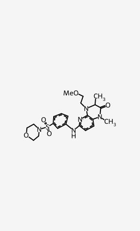 COCCN1c2nc(Nc3cccc(S(=O)(=O)N4CCOCC4)c3)ccc2N(C)C(=O)C1C